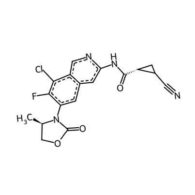 C[C@@H]1COC(=O)N1c1cc2cc(NC(=O)[C@@H]3CC3C#N)ncc2c(Cl)c1F